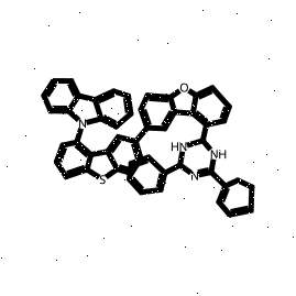 C1=CCCC(C2=NC(c3ccccc3)NC(c3cccc4oc5ccc(-c6ccc7sc8cccc(-n9c%10ccccc%10c%10ccccc%109)c8c7c6)cc5c34)N2)=C1